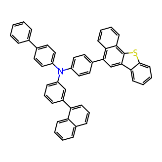 c1ccc(-c2ccc(N(c3ccc(-c4cc5c6ccccc6sc5c5ccccc45)cc3)c3cccc(-c4cccc5ccccc45)c3)cc2)cc1